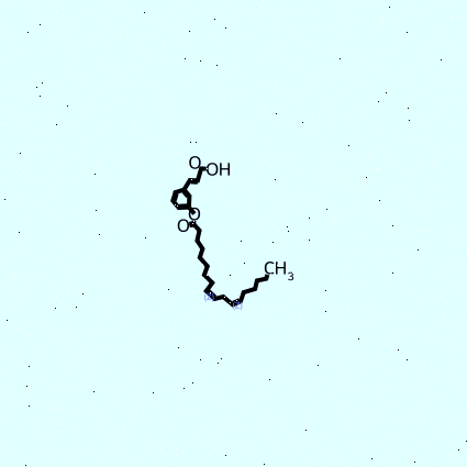 CCCCC/C=C\C/C=C\CCCCCCCC(=O)Oc1cccc(C=CC(=O)O)c1